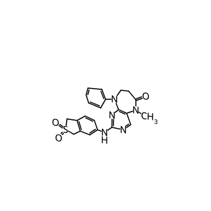 CN1C(=O)CCN(c2ccccc2)c2nc(Nc3ccc4c(c3)CS(=O)(=O)C4)ncc21